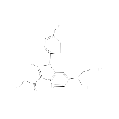 CCOC(=O)CC(C)c1cnc2c(C(=O)CCl)c(C)n(-c3ccc(C#N)cc3)c2c1